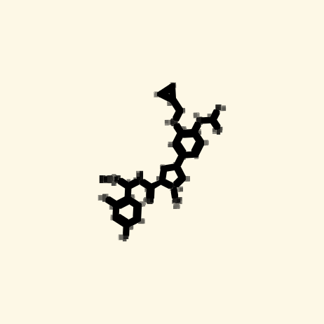 CCOC(=O)C(NC(=O)[C@H]1CC(c2ccc(OC(F)F)c(OCC3CC3)c2)CN1C(C)=O)c1ccc(F)cc1F